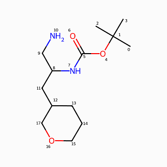 CC(C)(C)OC(=O)NC(CN)CC1CCCOC1